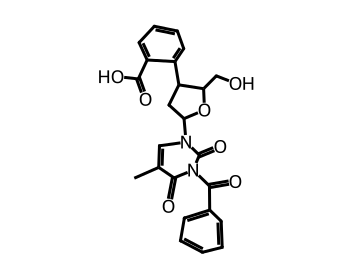 Cc1cn(C2CC(c3ccccc3C(=O)O)C(CO)O2)c(=O)n(C(=O)c2ccccc2)c1=O